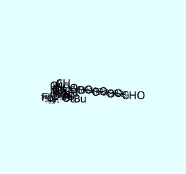 CN(CCOCCOCCOCCOCCOCCOCCOCCOCCC=O)C(=O)N1N=C(c2cc(F)ccc2F)S[C@@]1(CCCNC(=O)OC(C)(C)C)c1ccccc1